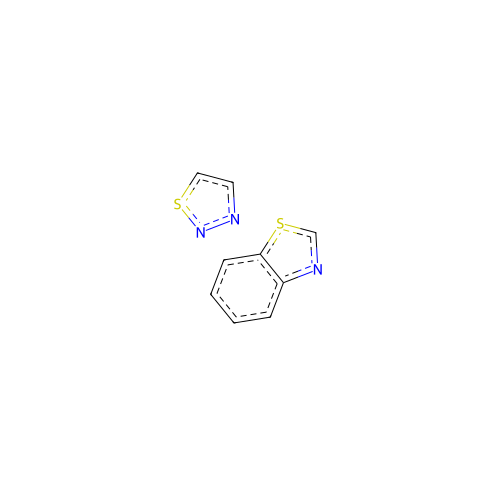 c1ccc2scnc2c1.c1csnn1